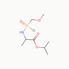 COCP(=O)(Cl)NC(C)C(=O)OC(C)C